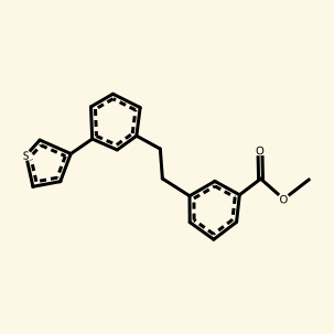 COC(=O)c1cccc(CCc2cccc(-c3ccsc3)c2)c1